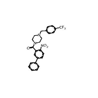 O=C(c1cc(-c2ccccc2)ccc1[N+](=O)[O-])N1CCN(Cc2ccc(C(F)(F)F)cc2)CC1